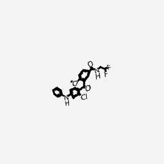 COc1ccc(C(=O)NCC(F)F)cc1C(=O)c1ccc(Nc2ccccc2)cc1Cl